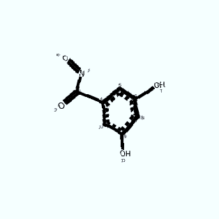 O=NC(=O)c1cc(O)cc(O)c1